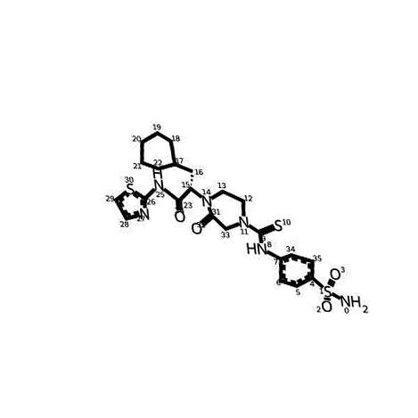 NS(=O)(=O)c1ccc(NC(=S)N2CCN([C@@H](CC3CCCCC3)C(=O)Nc3nccs3)C(=O)C2)cc1